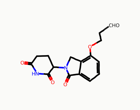 O=CCCOc1cccc2c1CN(C1CCC(=O)NC1=O)C2=O